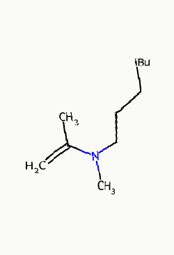 C=C(C)N(C)CCCC(C)CC